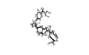 CCN(CC)C(=O)N1CCC(Cn2cc(-c3cnc4ccc(Nc5cc(C(C)C)cnn5)nc4c3)cn2)CC1